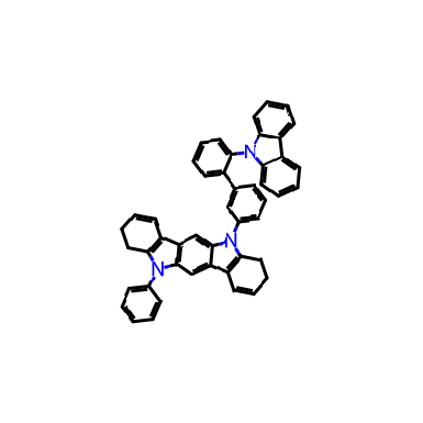 C1=Cc2c(n(-c3ccccc3)c3cc4c5c(n(-c6cccc(-c7ccccc7-n7c8ccccc8c8ccccc87)c6)c4cc23)CCC=C5)CC1